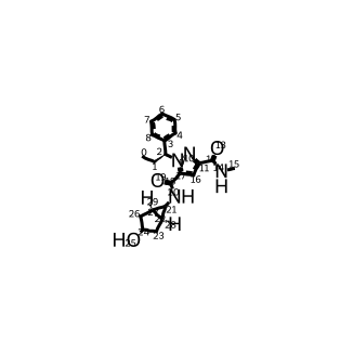 CC[C@@H](c1ccccc1)n1nc(C(=O)NC)cc1C(=O)NC1[C@H]2CC(O)C[C@@H]12